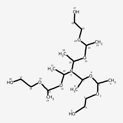 CC(OCCO)OC(C)N(C(C)OC(C)OCCO)C(C)OC(C)OCCO